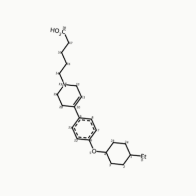 CCC1CCC(Oc2ccc(C3=CCN(CCCCC(=O)O)CC3)cc2)CC1